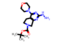 CC(C)(C)OC(=O)N1CCc2c(nc(NN)nc2N2CCOCC2)C1